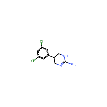 NC1=NCC(c2cc(Cl)cc(Cl)c2)CN1